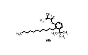 Br.C=C(C)C(=O)Oc1cccc(C(C)(C)N)c1CCCCCCCCCCC